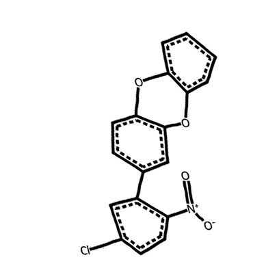 O=[N+]([O-])c1ccc(Cl)cc1-c1ccc2c(c1)Oc1ccccc1O2